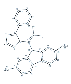 C[C](C)=[Hf]([CH]1C=CC=C1c1ccccc1)[CH]1c2cc(C(C)(C)C)ccc2-c2ccc(C(C)(C)C)cc21